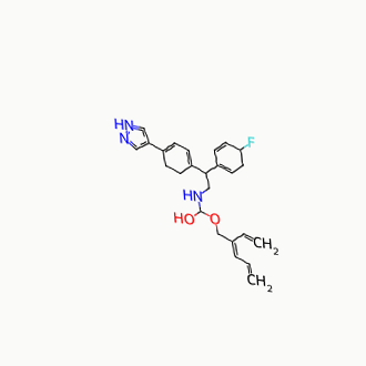 C=C/C=C(\C=C)COC(O)NCC(C1=CCC(F)C=C1)C1=CC=C(c2cn[nH]c2)CC1